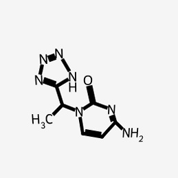 CC(c1nnn[nH]1)n1ccc(N)nc1=O